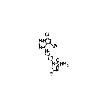 CC(C)c1cc(Cl)n2ncnc(N3CC4(CC(N(CC(F)F)S(N)(=O)=O)C4)C3)c12